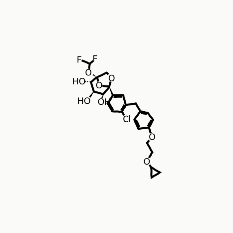 O[C@@H]1[C@@H](O)[C@@]2(c3ccc(Cl)c(Cc4ccc(OCCOC5CC5)cc4)c3)OC[C@@](OC(F)F)(O2)[C@H]1O